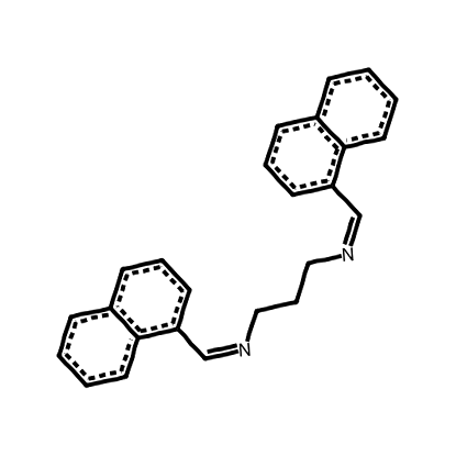 C(=N/CCC/N=C\c1cccc2ccccc12)/c1cccc2ccccc12